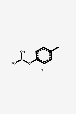 Cc1ccc(OP(O)O)cc1.[Ni]